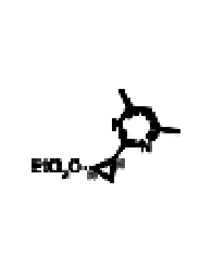 CCOC(=O)[C@H]1C[C@@H]1c1nc(C)cc(C)n1